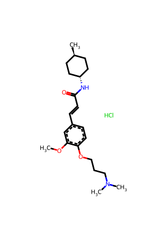 COc1cc(C=CC(=O)N[C@H]2CC[C@H](C)CC2)ccc1OCCCN(C)C.Cl